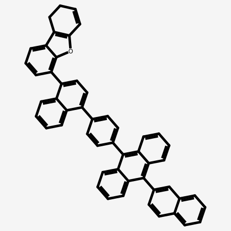 C1=Cc2oc3c(-c4ccc(-c5ccc(-c6c7ccccc7c(-c7ccc8ccccc8c7)c7ccccc67)cc5)c5ccccc45)cccc3c2CC1